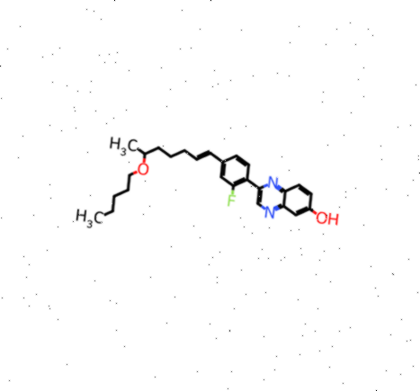 CCCCCOC(C)CCC/C=C/c1ccc(-c2cnc3cc(O)ccc3n2)c(F)c1